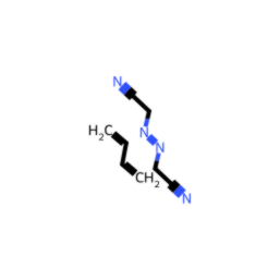 C=CC=C.N#CCN=NCC#N